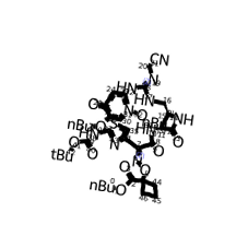 CCCCOC(=O)C1(O/N=C(\C(=O)N[C@@H]2C(=O)N[C@@H]2CN/C(=N/CC#N)Nc2cc(=O)c(OCCCC)cn2OCCCC)c2csc(NC(=O)OC(C)(C)C)n2)CCC1